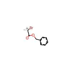 C[C@H](Br)C(=O)OCc1ccccc1